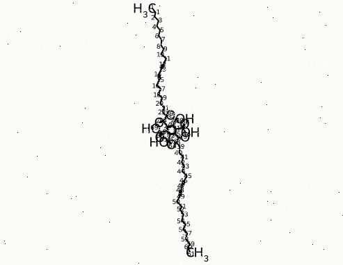 CCCCCCCCCCCCC#CC#CCCCCCCCCC(=O)c1c(C(=O)O)c(C(=O)O)c(C(=O)CCCCCCCCC#CC#CCCCCCCCCCCCC)c(C(=O)O)c1C(=O)O